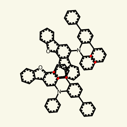 c1ccc(-c2ccc(-c3ccccc3)c(N(c3ccccc3)c3cc4c5ccccc5oc4c4c3c3cccc5c6c(N(c7ccccc7)c7cc(-c8ccccc8)ccc7-c7ccccc7)cc7c8ccccc8oc7c6n4c35)c2)cc1